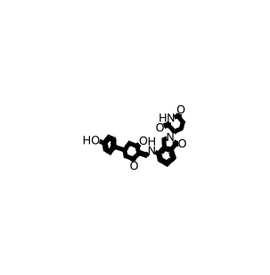 O=C1CCC(N2Cc3c(NC=C4C(=O)CC(c5ccc(O)cc5)CC4=O)cccc3C2=O)C(=O)N1